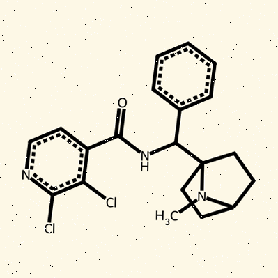 CN1C2CCC1(C(NC(=O)c1ccnc(Cl)c1Cl)c1ccccc1)CC2